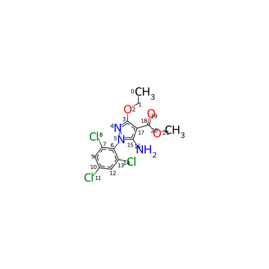 CCOc1nn(-c2c(Cl)cc(Cl)cc2Cl)c(N)c1C(=O)OC